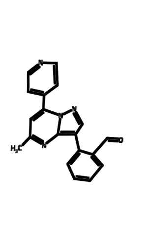 Cc1cc(-c2ccncc2)n2ncc(-c3ccccc3C=O)c2n1